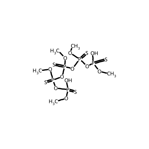 COP(O)(=S)OP(=S)(OC)OP(=S)(OC)OP(=S)(OC)OP(O)(=S)OC